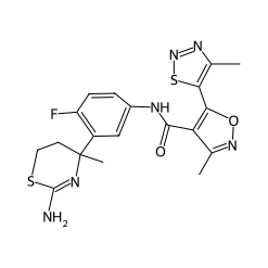 Cc1nnsc1-c1onc(C)c1C(=O)Nc1ccc(F)c(C2(C)CCSC(N)=N2)c1